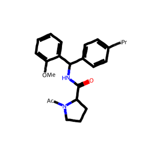 COc1ccccc1C(NC(=O)C1CCCN1C(C)=O)c1ccc(C(C)C)cc1